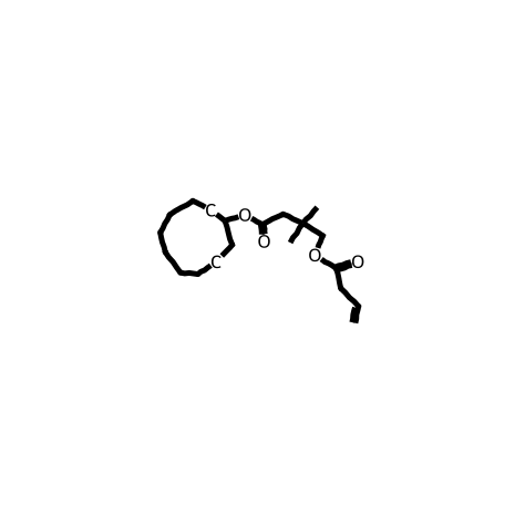 C=CCC(=O)OCC(C)(C)CC(=O)OC1CCCCCCCCC1